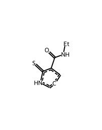 CCNC(=O)c1ccc[nH]c1=S